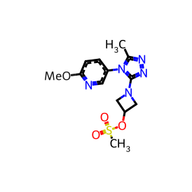 COc1ccc(-n2c(C)nnc2N2CC(OS(C)(=O)=O)C2)cn1